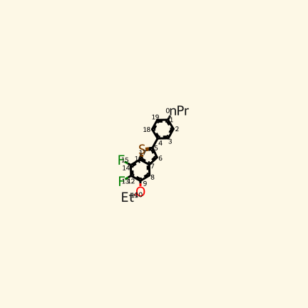 CCCc1ccc(-c2cc3cc(OCC)c(F)c(F)c3s2)cc1